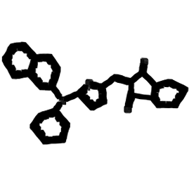 O=C1C(=Cc2ccc(N(c3ccccc3)c3ccc4ccccc4c3)o2)C(=O)c2ccccc21